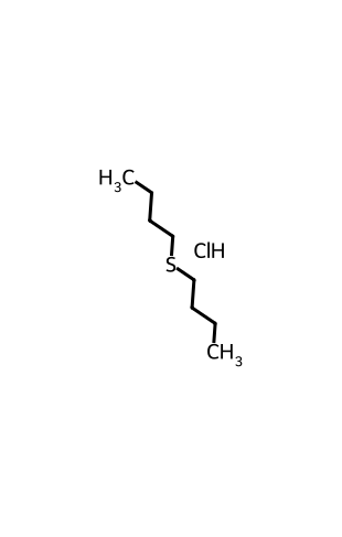 CCCCSCCCC.Cl